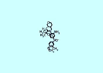 C=C/C=C(\C=C/NOC)[S+]([O-])c1ccc(N(CC2CCOCC2)C(=C)C(C)(C)C)c(N)c1